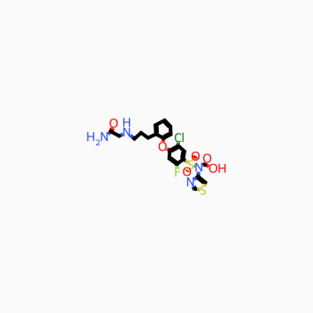 NC(=O)CNCCCc1ccccc1Oc1cc(F)c(S(=O)(=O)N(C(=O)O)c2cscn2)cc1Cl